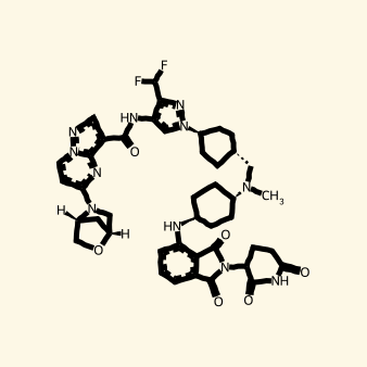 CN(C[C@H]1CC[C@H](n2cc(NC(=O)c3cnn4ccc(N5C[C@H]6C[C@@H]5CO6)nc34)c(C(F)F)n2)CC1)[C@H]1CC[C@H](Nc2cccc3c2C(=O)N(C2CCC(=O)NC2=O)C3=O)CC1